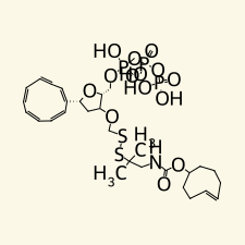 CC(C)(CNC(=O)OC1CC/C=C/CCC1)SSCOC1C[C@H](c2ccccccccc2)O[C@@H]1COP(=O)(O)OP(=O)(O)OP(=O)(O)O